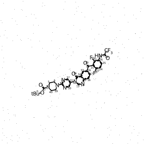 CC(C)(C)OC(=O)N1CCN(c2ncc(-n3cnc4ccc(C(=O)c5c(F)ccc(NC(=O)C(F)(F)F)c5F)cc4c3=O)cn2)CC1